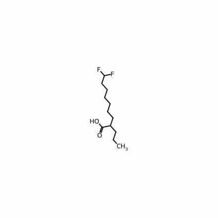 CCCC(CCCCCCC(F)F)C(=O)O